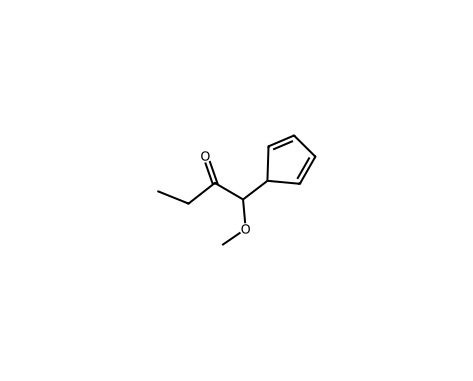 CCC(=O)C(OC)C1C=CC=C1